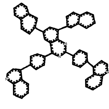 c1ccc2cc(-c3cc(-c4ccc5ccccc5c4)c4nc(-c5ccc(-c6ccnc7ccccc67)cc5)nc(-c5ccc(-c6ccnc7ccccc67)cc5)c4c3)ccc2c1